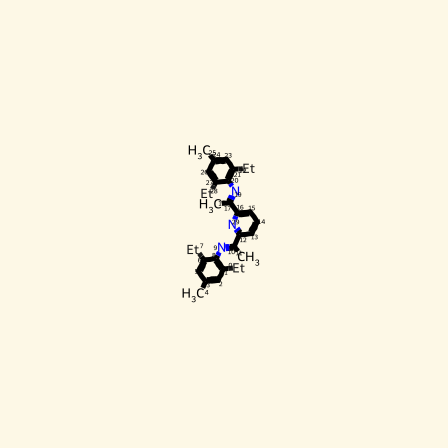 CCc1cc(C)cc(CC)c1/N=C(\C)c1cccc(/C(C)=N/c2c(CC)cc(C)cc2CC)n1